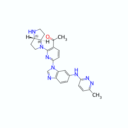 CC(=O)c1ccc(-n2cnc3ccc(Nc4ccc(C)nn4)cc32)nc1N1CC[C@@H]2NCC[C@H]21